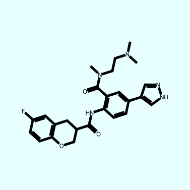 CN(C)CCN(C)C(=O)c1cc(-c2cn[nH]c2)ccc1NC(=O)C1COc2ccc(F)cc2C1